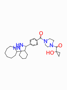 O=C(c1ccc(C2NNC3(C4CCCCCCC4)CCCCC23)cc1)N1CCN(C(=O)C2(O)CC2)CC1